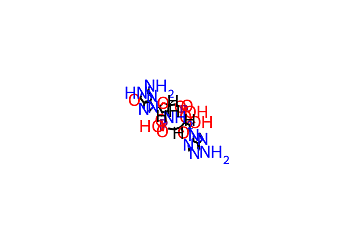 Nc1nc2c(ncn2[C@@H]2O[C@@H]3COP(=O)(O)O[C@H]4[C@@H](O)[C@H](n5cnc6c(N)ncnc65)O[C@@H]4CCP(=O)(O)O[C@@H]2[C@@H]3N)c(=O)[nH]1